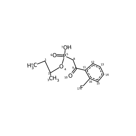 CCC(C)OP(=O)(O)CC(=O)c1ccccc1F